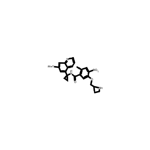 COc1cc(C2(NC(=O)c3cc(OCC4CCN4)c([N+](=O)[O-])cc3C)CC2)c2cccnc2c1